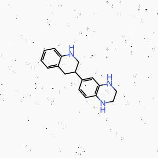 c1ccc2c(c1)CC(c1ccc3c(c1)NCCN3)CN2